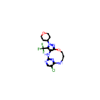 FC(F)(F)c1c2c(nn1C1CCOCC1)OCCCNc1nc(ncc1Cl)N2